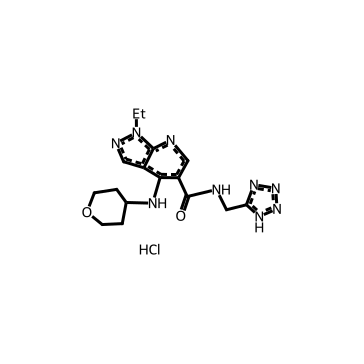 CCn1ncc2c(NC3CCOCC3)c(C(=O)NCc3nnn[nH]3)cnc21.Cl